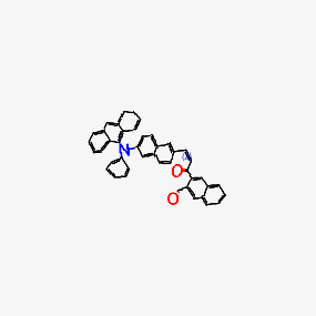 O=Cc1cc2ccccc2cc1C(=O)/C=C\c1ccc2cc(N(c3ccccc3)c3c4c(cc5ccccc35)CCC=C4)ccc2c1